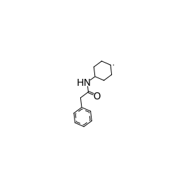 O=C(Cc1ccccc1)NC1CC[CH]CC1